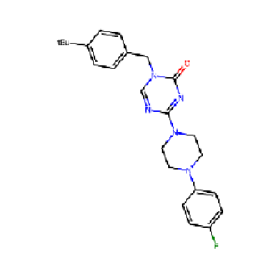 CC(C)(C)c1ccc(Cn2cnc(N3CCN(c4ccc(F)cc4)CC3)nc2=O)cc1